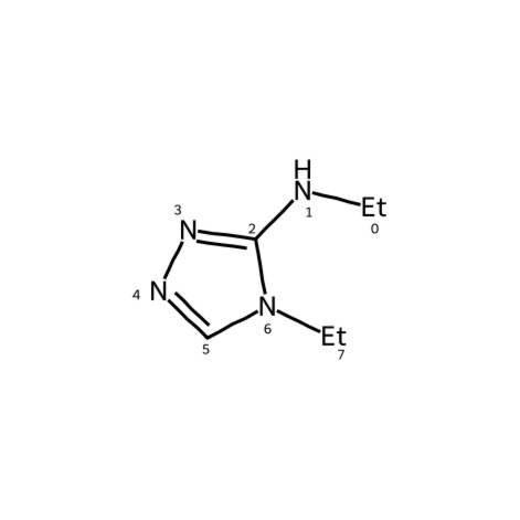 CCNc1nncn1CC